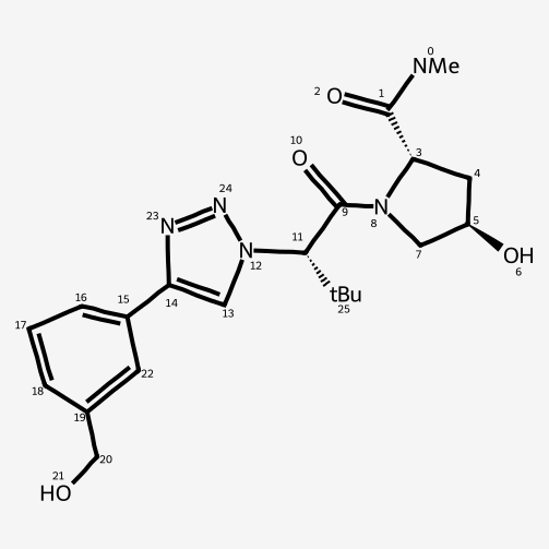 CNC(=O)[C@@H]1C[C@@H](O)CN1C(=O)[C@@H](n1cc(-c2cccc(CO)c2)nn1)C(C)(C)C